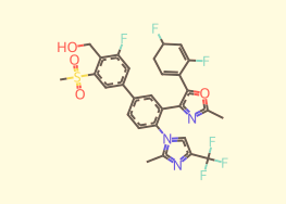 Cc1nc(-c2cc(-c3cc(F)c(CO)c(S(C)(=O)=O)c3)ccc2-n2cc(C(F)(F)F)nc2C)c(C2=CCC(F)C=C2F)o1